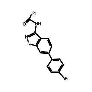 CC(C)C(=O)Nc1n[nH]c2cc(-c3ccc(C(C)C)cc3)ccc12